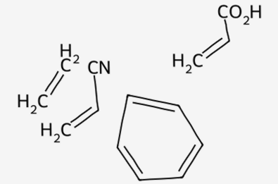 C=C.C=CC#N.C=CC(=O)O.c1ccccc1